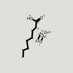 CC(=O)[O-].CC(=O)[O-].CCCCCCCC(=O)O.[Zn+2]